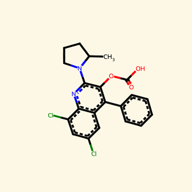 CC1CCCN1c1nc2c(Cl)cc(Cl)cc2c(-c2ccccc2)c1OC(=O)O